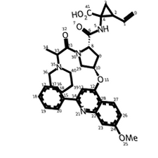 C=CC1CC1(NC(=O)[C@@H]1C[C@@H](Oc2cc(-c3ccccc3)nc3cc(OC)ccc23)CN1C(=O)C(C)N1CCCCC1)C(=O)O